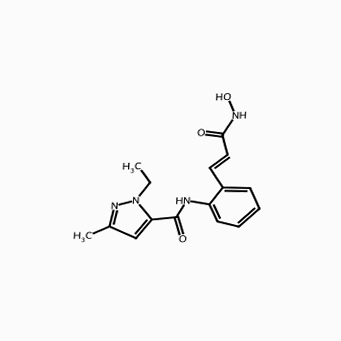 CCn1nc(C)cc1C(=O)Nc1ccccc1C=CC(=O)NO